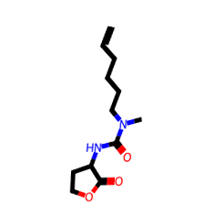 C=CCCCCN(C)C(=O)NC1CCOC1=O